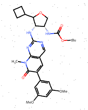 COc1cc(OC)cc(-c2cc3cnc(N[C@@H]4C(C5CCC5)OC[C@@H]4NC(=O)OC(C)(C)C)nc3n(C)c2=O)c1